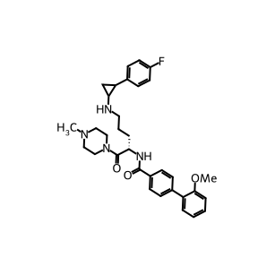 COc1ccccc1-c1ccc(C(=O)N[C@@H](CCCNC2CC2c2ccc(F)cc2)C(=O)N2CCN(C)CC2)cc1